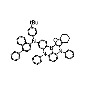 CC(C)(C)c1ccc(N(c2ccc3c(c2)N(c2ccccc2)c2cccc4c2B3c2oc3c(c2N4c2ccccc2)CCCC3)c2ccc(-c3ccccc3)c3ccccc23)cc1